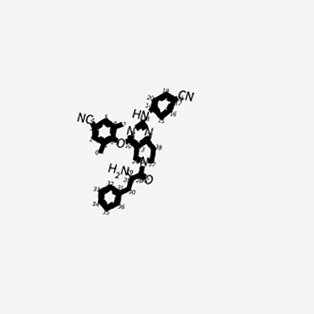 Cc1cc(C#N)cc(C)c1Oc1nc(Nc2ccc(C#N)cc2)nc2c1CN(C(=O)[C@@H](N)Cc1ccccc1)CC2